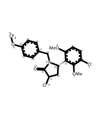 COc1ccc(Cl)c(OC)c1[C@@H]1CC(Cl)C(=O)N1Cc1ccc(OC(F)(F)F)cc1